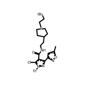 CCn1nc(-c2cc(C)on2)c(C(=O)NCCC2CCN(CCC(C)(C)C)CC2)c1Cl